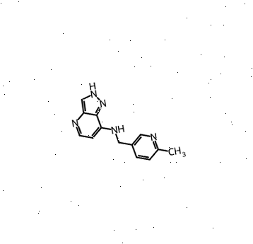 Cc1ccc(CNc2ccnc3c[nH]nc23)cn1